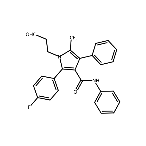 O=CCCn1c(-c2ccc(F)cc2)c(C(=O)Nc2ccccc2)c(-c2ccccc2)c1C(F)(F)F